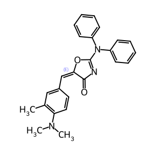 Cc1cc(/C=C2/OC(N(c3ccccc3)c3ccccc3)=NC2=O)ccc1N(C)C